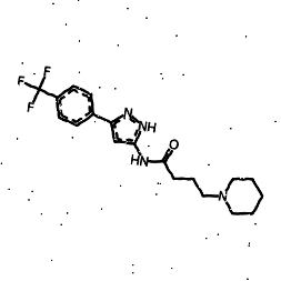 O=C(CCCN1CCCCC1)Nc1cc(-c2ccc(C(F)(F)F)cc2)n[nH]1